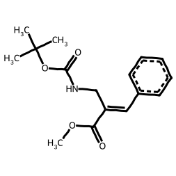 COC(=O)/C(=C/c1ccccc1)CNC(=O)OC(C)(C)C